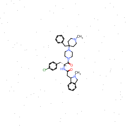 CN1CCC(Cc2ccccc2)(N2CCN(C(=O)[C@@H](Cc3ccc(Cl)cc3)NC(=O)CC3c4ccccc4CN3C)CC2)CC1